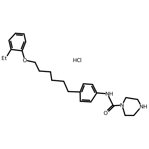 CCc1ccccc1OCCCCCCc1ccc(NC(=O)N2CCNCC2)cc1.Cl